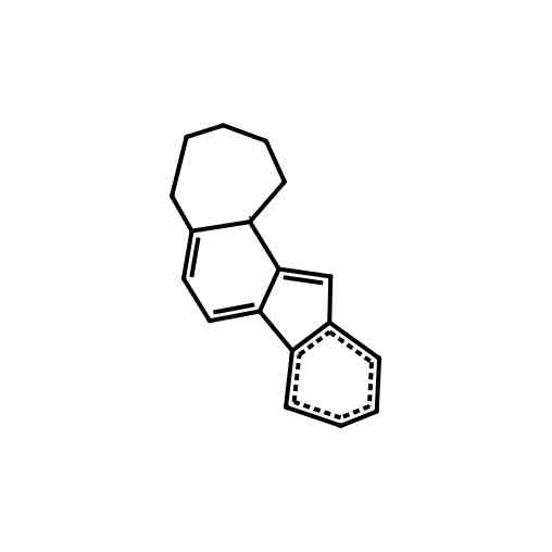 C1=C2CCCCC[C]2C2=Cc3ccccc3C2=C1